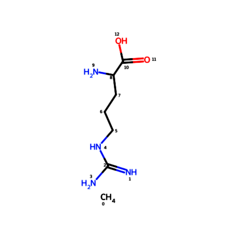 C.N=C(N)NCCCC(N)C(=O)O